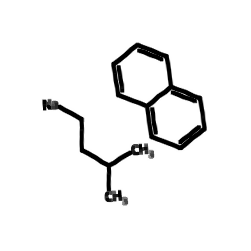 CC(C)C[CH2][Na].c1ccc2ccccc2c1